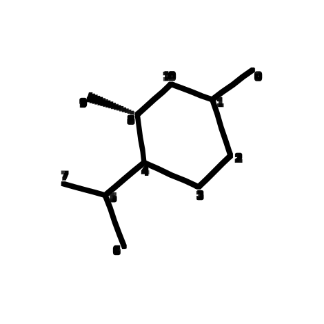 CC1CCC(C(C)C)[C@H](C)C1